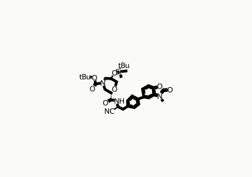 Cn1c(=O)oc2ccc(-c3ccc(C[C@@H](C#N)NC(=O)[C@@H]4CN(C(=O)OC(C)(C)C)C[C@@H](O[Si](C)(C)C(C)(C)C)CO4)cc3)cc21